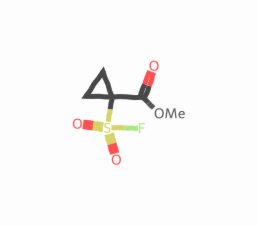 COC(=O)C1(S(=O)(=O)F)CC1